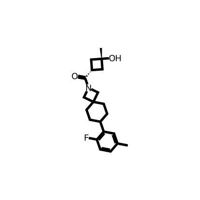 Cc1ccc(F)c(C2CCC3(CC2)CN(C(=O)[C@H]2C[C@@](C)(O)C2)C3)c1